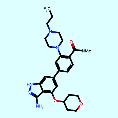 CNC(=O)c1ccc(-c2cc(OC3CCOCC3)c3c(N)n[nH]c3c2)cc1N1CCN(CCC(F)(F)F)CC1